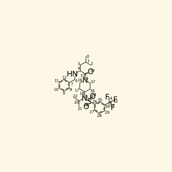 CC(C)CC(NCc1ccccc1)C(=O)N1CCC(N(C(C)C)S(=O)(=O)c2cccc(C(F)(F)F)c2)CC1